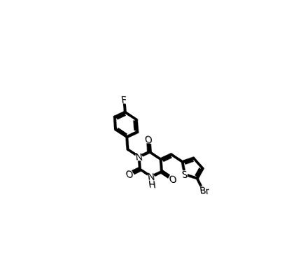 O=C1NC(=O)N(Cc2ccc(F)cc2)C(=O)/C1=C/c1ccc(Br)s1